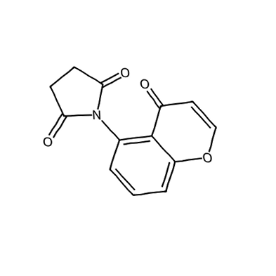 O=C1CCC(=O)N1c1cccc2occc(=O)c12